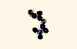 c1ccc(-c2cc(-n3c4ccccc4c4cc(-c5cncc(-c6ccc7c(c6)c6ccccc6n7-c6ccc7oc8cccnc8c7c6)n5)ccc43)nc(-c3ccccc3)n2)cc1